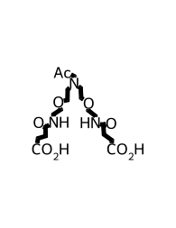 CC(=O)CN(CCOCCNC(=O)CCC(=O)O)CCOCCNC(=O)CCC(=O)O